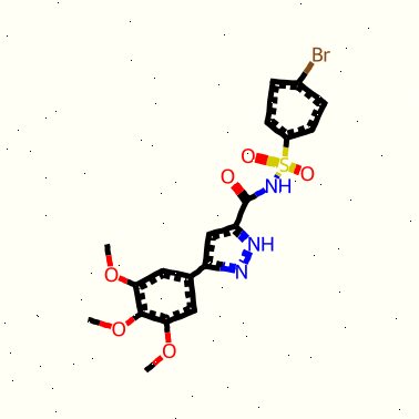 COc1cc(-c2cc(C(=O)NS(=O)(=O)c3ccc(Br)cc3)[nH]n2)cc(OC)c1OC